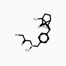 CN(CC(=O)CO)Cc1ccc(/C=C2\C(=O)C3(C)CCC2C3(C)C)cc1